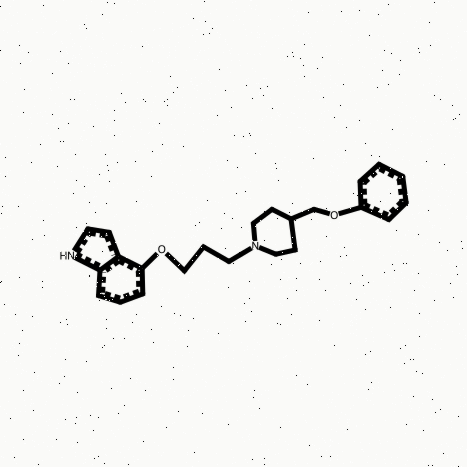 c1ccc(OCC2CCN(CCCOc3cccc4[nH]ccc34)CC2)cc1